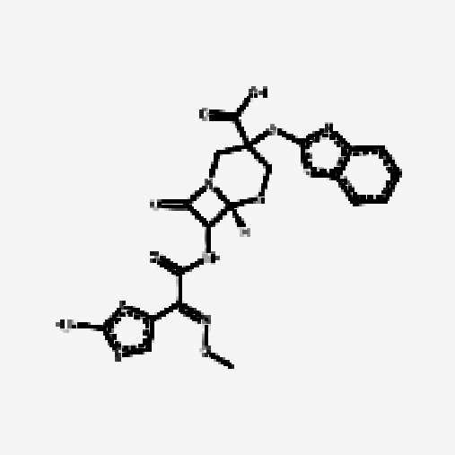 CON=C(C(=O)NC1C(=O)N2CC(Sc3nc4ccccc4s3)(C(=O)O)CS[C@H]12)c1csc(N)n1